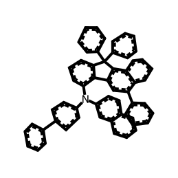 c1ccc(-c2ccc(N(c3ccc4ccccc4c3)c3cccc4c3-c3cc(-c5ccccc5)c5ccccc5c3C4(c3ccccc3)c3ccccc3)cc2)cc1